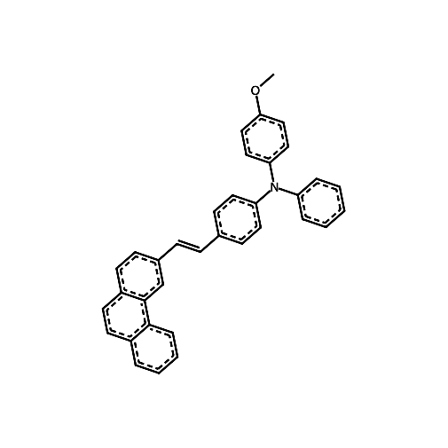 COc1ccc(N(c2ccccc2)c2ccc(C=Cc3ccc4ccc5ccccc5c4c3)cc2)cc1